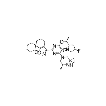 C[C@H](Oc1nc(-c2noc3c2CCC[C@@]32CCCCC2=O)nc(N2C[C@H](C)NC3(CC3)C2)c1F)[C@@H]1C[C@@H](F)CN1C